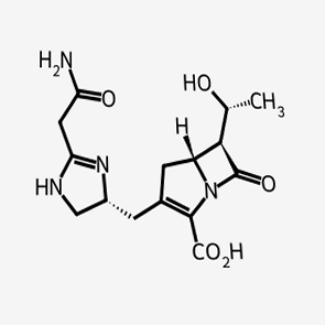 C[C@@H](O)[C@H]1C(=O)N2C(C(=O)O)=C(C[C@@H]3CNC(CC(N)=O)=N3)C[C@H]12